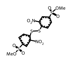 COS(=O)(=O)c1ccc(SSc2ccc(S(=O)(=O)OC)cc2[N+](=O)[O-])c([N+](=O)[O-])c1